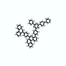 c1ccc(-c2ccc(-c3nc(-c4ccccc4)nc(-c4ccc(-c5cccc6c5nc(-c5ccc(-c7cc8ccccc8c8ccccc78)cc5)c5ccc7ccccc7c56)cc4)n3)cc2)cc1